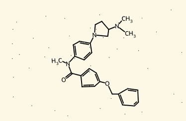 CN(C(=O)c1ccc(OCc2ccccc2)cc1)c1ccc(N2CCC(N(C)C)C2)cc1